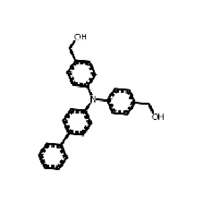 OCc1ccc(N(c2ccc(CO)cc2)c2ccc(-c3ccccc3)cc2)cc1